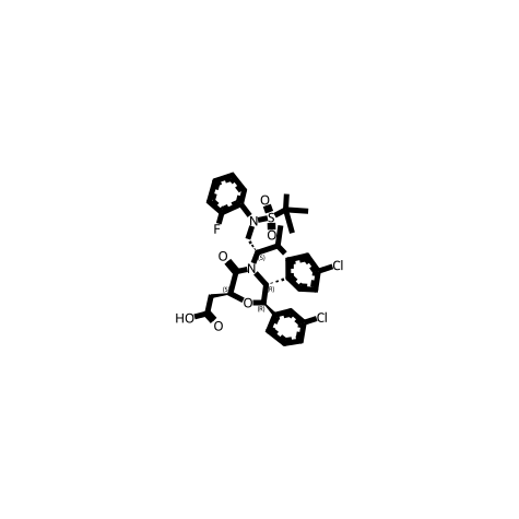 CC(C)[C@@H](CN(c1ccccc1F)S(=O)(=O)C(C)(C)C)N1C(=O)[C@H](CC(=O)O)O[C@H](c2cccc(Cl)c2)[C@H]1c1ccc(Cl)cc1